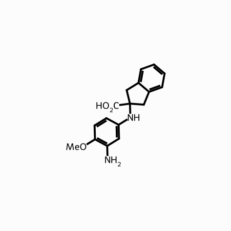 COc1ccc(NC2(C(=O)O)Cc3ccccc3C2)cc1N